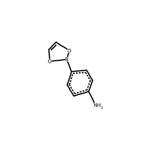 Nc1ccc(B2OC=CO2)cc1